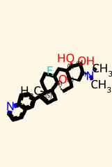 CN(C)[C@H]1C[C@@]23CC[C@]4(O2)C2CC=C(c5ccc6ncccc6c5)[C@@]2(C)CCC4(F)CC3[C@@H](O)[C@@H]1O